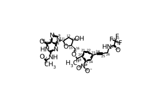 CC(=O)Nc1nc2c(ncn2[C@H]2C[C@H](O)[C@@H](COC(C)c3ccc(C#CCNC(=O)C(F)(F)F)cc3[N+](=O)[O-])O2)c(=O)[nH]1